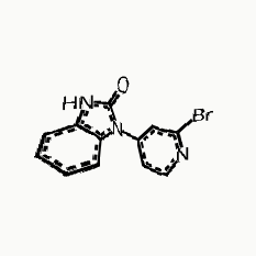 O=c1[nH]c2ccccc2n1-c1ccnc(Br)c1